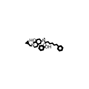 CN(C(=O)CCCCCc1ccccc1)[C@H]1CC[C@]2(O)CN(CC3CC3)CC[C@@]2(c2cccc(O)c2)C1